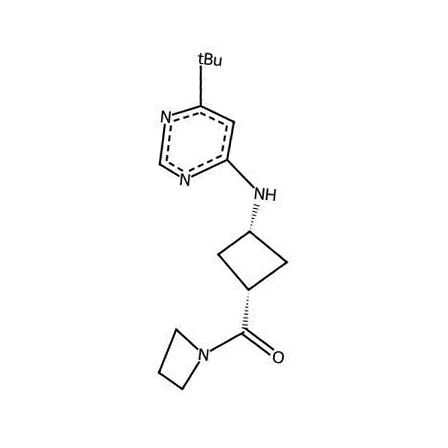 CC(C)(C)c1cc(N[C@H]2C[C@@H](C(=O)N3CCC3)C2)ncn1